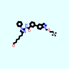 C[Si](C)(C)CCOCn1ncc2cc(-c3cccc(C(=O)Nc4nc(CCCCCC=O)cn4-c4ccccc4)c3)ccc21